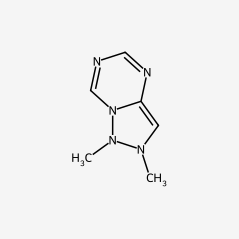 CN1C=C2N=CN=CN2N1C